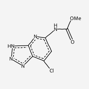 COC(=O)Nc1cc(Cl)c2nn[nH]c2n1